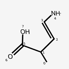 CC(C=C[NH])C(=O)O